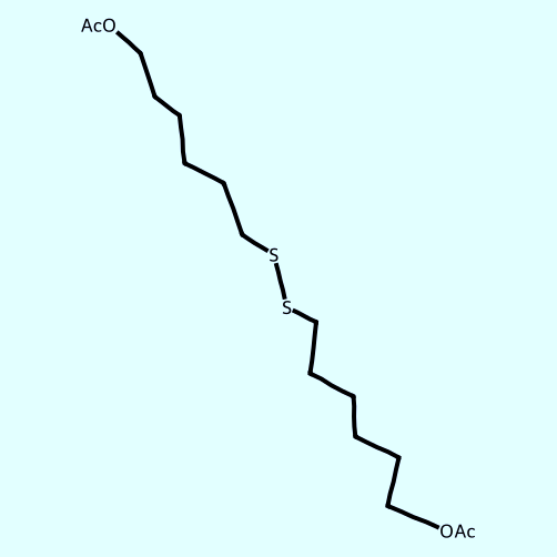 CC(=O)OCCCCCCSSCCCCCCOC(C)=O